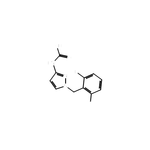 CC(=O)Nc1ccn(Cc2c(F)cccc2F)n1